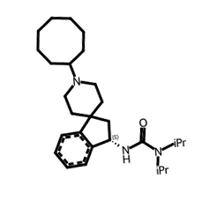 CC(C)N(C(=O)N[C@H]1CC2(CCN(C3CCCCCCC3)CC2)c2ccccc21)C(C)C